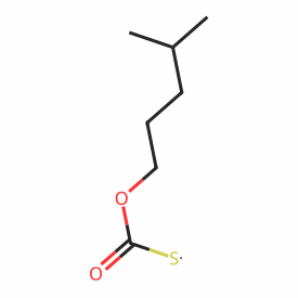 CC(C)CCCOC(=O)[S]